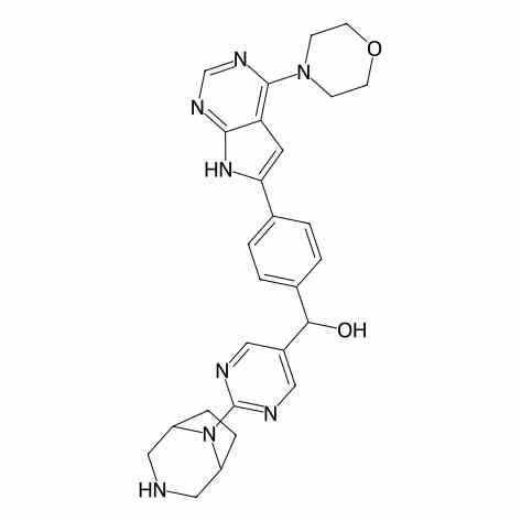 OC(c1ccc(-c2cc3c(N4CCOCC4)ncnc3[nH]2)cc1)c1cnc(N2C3CCC2CNC3)nc1